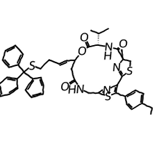 CCc1ccc(-c2sc3nc2C2=N[C@@](C)(CS2)C(=O)N[C@@H](C(C)C)C(=O)OC(/C=C/CCSC(c2ccccc2)(c2ccccc2)c2ccccc2)CC(=O)NC3)cc1